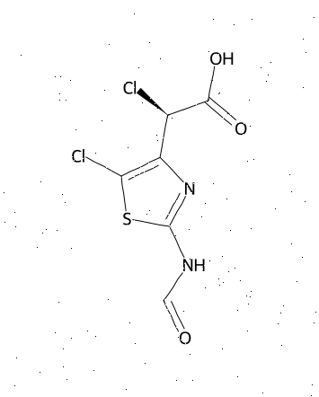 O=CNc1nc([C@@H](Cl)C(=O)O)c(Cl)s1